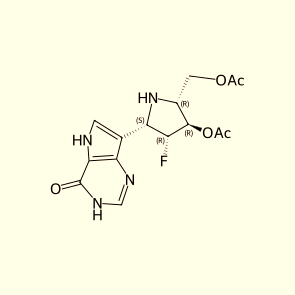 CC(=O)OC[C@H]1N[C@@H](c2c[nH]c3c(=O)[nH]cnc23)[C@@H](F)[C@@H]1OC(C)=O